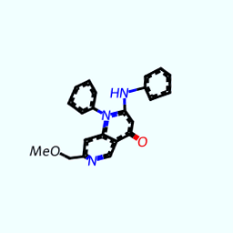 COCc1cc2c(cn1)c(=O)cc(Nc1ccccc1)n2-c1ccccc1